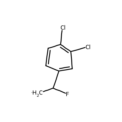 [CH2]C(F)c1ccc(Cl)c(Cl)c1